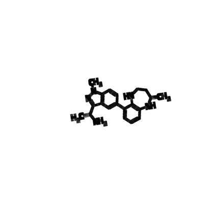 C=C1CCNc2c(cccc2-c2ccc3c(c2)c(C(=C)N)nn3C)N1